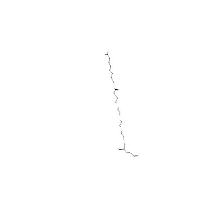 CCCCC(CC)COCCOCCOCCOCCCC(=O)OCCCCCCCC(C)C